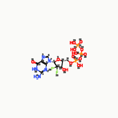 Nc1nc2c(ncn2[C@@H]2O[C@H](COP(=O)(O)OP(=O)(O)OP(=O)(O)O)[C@@H](O)C2(F)F)c(=O)[nH]1